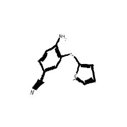 N#Cc1ccc(N)c(Sc2cccs2)c1